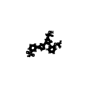 CC(C)(O)c1cc(-c2ccc(-c3cccc(S(C)(=O)=O)c3)s2)n(-c2ccccc2OC(F)F)n1